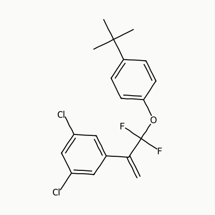 C=C(c1cc(Cl)cc(Cl)c1)C(F)(F)Oc1ccc(C(C)(C)C)cc1